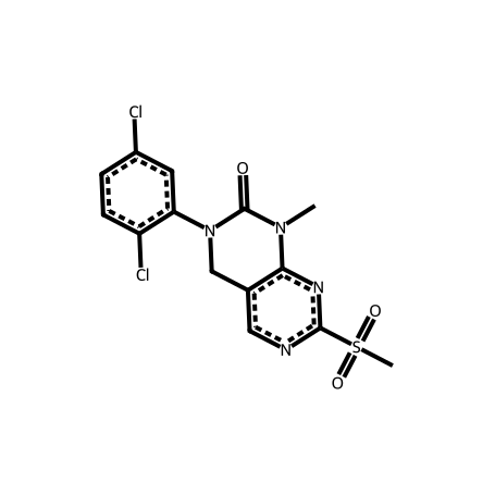 CN1C(=O)N(c2cc(Cl)ccc2Cl)Cc2cnc(S(C)(=O)=O)nc21